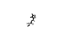 CCNC(=O)C[C@H](C)c1noc(C)c1C